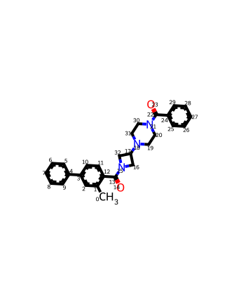 Cc1cc(-c2ccccc2)ccc1C(=O)N1CC(N2CCN(C(=O)c3ccccc3)CC2)C1